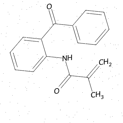 C=C(C)C(=O)Nc1ccccc1C(=O)c1ccccc1